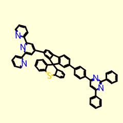 C1=CC2Sc3ccccc3C3(c4cc(-c5ccc(-c6cc(-c7ccccc7)nc(-c7ccccc7)n6)cc5)ccc4-c4ccc(-c5cc(-c6ccccn6)nc(-c6ccccn6)c5)cc43)C2C=C1